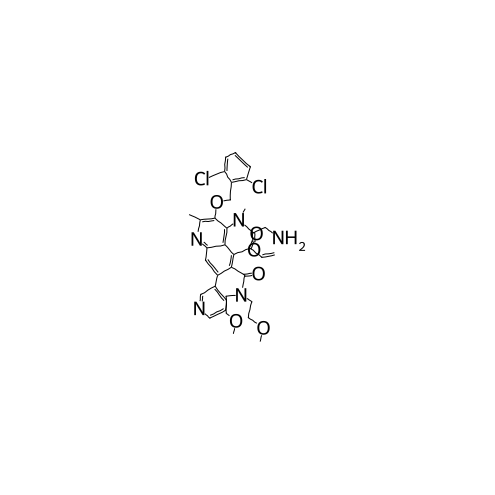 C=CC(=O)c1c(C(=O)N(CCOC)CCOC)c(-c2cccnc2)cc2nc(C)c(OCc3c(Cl)cccc3Cl)c(N(C)C(=O)CN)c12